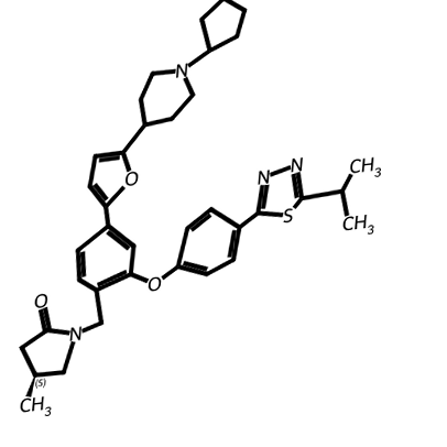 CC(C)c1nnc(-c2ccc(Oc3cc(-c4ccc(C5CCN(C6CCCC6)CC5)o4)ccc3CN3C[C@@H](C)CC3=O)cc2)s1